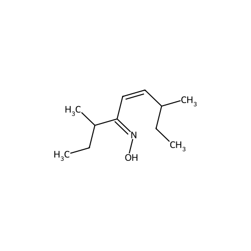 CCC(C)/C=C\C(=N\O)C(C)CC